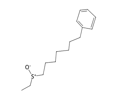 CC[S+]([O-])CCCCCCCc1ccccc1